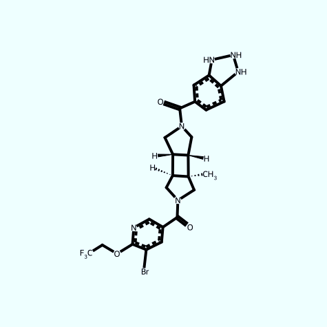 C[C@]12CN(C(=O)c3cnc(OCC(F)(F)F)c(Br)c3)C[C@H]1[C@@H]1CN(C(=O)c3ccc4c(c3)NNN4)C[C@@H]12